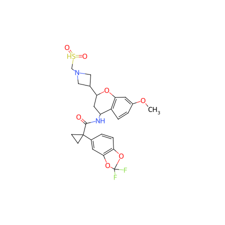 COc1ccc2c(c1)OC(C1CN(C[SH](=O)=O)C1)CC2NC(=O)C1(c2ccc3c(c2)OC(F)(F)O3)CC1